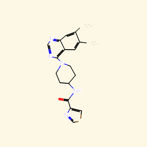 COc1cc2ncnc(N3CCC(NC(=O)c4cscn4)CC3)c2cc1OC